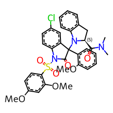 COc1ccc(S(=O)(=O)N2C(=O)C(c3ccccc3OC)(N3c4ccccc4C[C@H]3C(=O)N(C)C)c3cc(Cl)ccc32)c(OC)c1